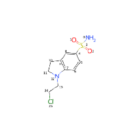 NS(=O)(=O)c1ccc2c(c1)CCN2CCCl